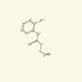 O=CCCC(=O)Oc1ccccc1F